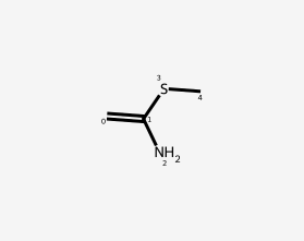 C=C(N)SC